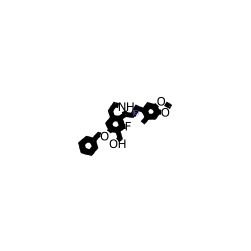 Cc1cc2c(cc1/C=C/C1NCCc3cc(OCc4ccccc4)c(CO)c(F)c31)OCO2